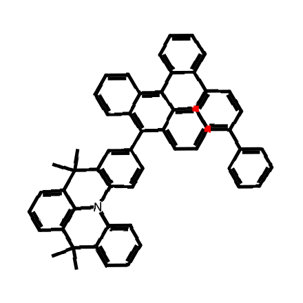 CC1(C)c2ccccc2N2c3ccc(-c4c5ccccc5c(-c5ccccc5-c5ccc(-c6ccccc6)cc5)c5ccccc45)cc3C(C)(C)c3cccc1c32